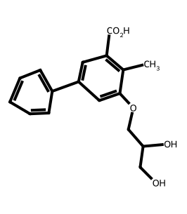 Cc1c(OCC(O)CO)cc(-c2ccccc2)cc1C(=O)O